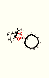 CC1(C)OB(C2CCCCCCCCCC2)OC1(C)C